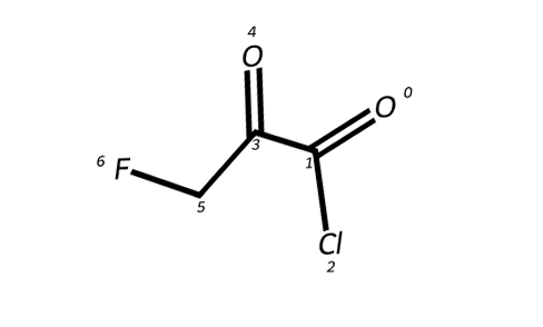 O=C(Cl)C(=O)CF